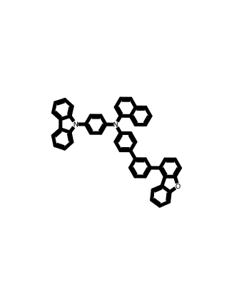 c1cc(-c2ccc(N(c3ccc(-n4c5ccccc5c5ccccc54)cc3)c3cccc4ccccc34)cc2)cc(-c2cccc3oc4ccccc4c23)c1